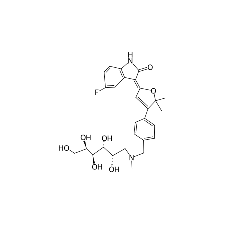 CN(Cc1ccc(C2=CC(=C3C(=O)Nc4ccc(F)cc43)OC2(C)C)cc1)C[C@H](O)[C@@H](O)[C@@H](O)[C@H](O)CO